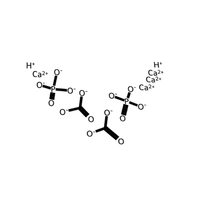 O=C([O-])[O-].O=C([O-])[O-].O=P([O-])([O-])[O-].O=P([O-])([O-])[O-].[Ca+2].[Ca+2].[Ca+2].[Ca+2].[H+].[H+]